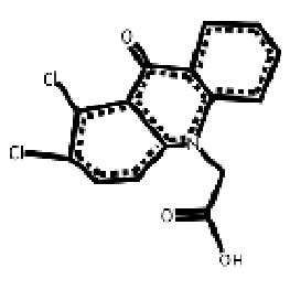 O=C(O)Cn1c2ccccc2c(=O)c2c(Cl)c(Cl)ccc21